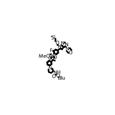 COCN(c1ccc(-c2cc3c(N4CCOCC4)ncnc3n2COCC[Si](C)(C)C)cc1F)S(=O)(=O)C(C)c1cccc(N2CCC[C@@H](NC(=O)OC(C)(C)C)C2)c1